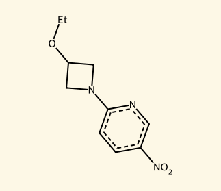 CCOC1CN(c2ccc([N+](=O)[O-])cn2)C1